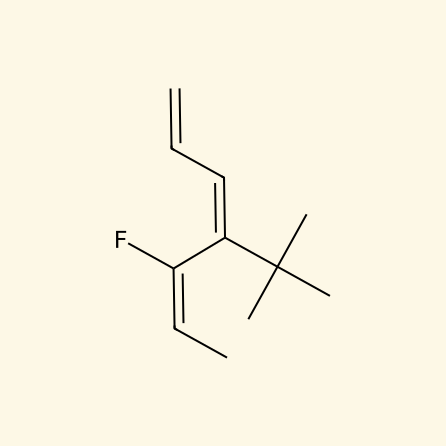 C=C/C=C(\C(F)=C/C)C(C)(C)C